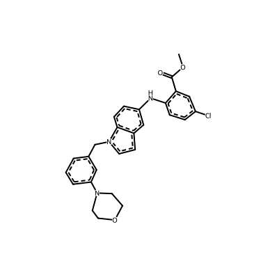 COC(=O)c1cc(Cl)ccc1Nc1ccc2c(ccn2Cc2cccc(N3CCOCC3)c2)c1